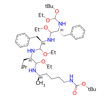 CCOC(N[C@H](Cc1ccccc1)C(N[C@H](Cc1ccccc1)C(N[C@H](CC(C)C)C(N[C@H](C)CCCCNC(=O)OC(C)(C)C)OCC)OCC)OCC)OC(C)(C)C